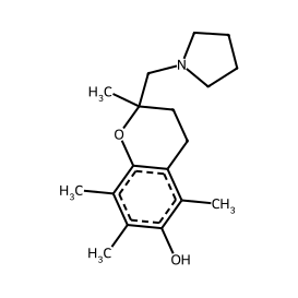 Cc1c(C)c2c(c(C)c1O)CCC(C)(CN1CCCC1)O2